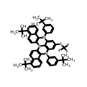 CC(C)(C)c1cccc(N2c3cc(SC(F)(F)F)cc4c3B(c3ccc5c(C(C)(C)C)cccc5c32)c2ccc3c(C(C)(C)C)cccc3c2N4c2cccc(C(C)(C)C)c2)c1